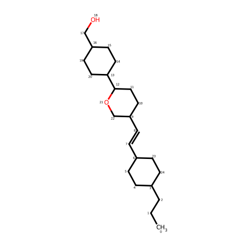 CCCC1CCC(/C=C/C2CCC(C3CCC(CO)CC3)OC2)CC1